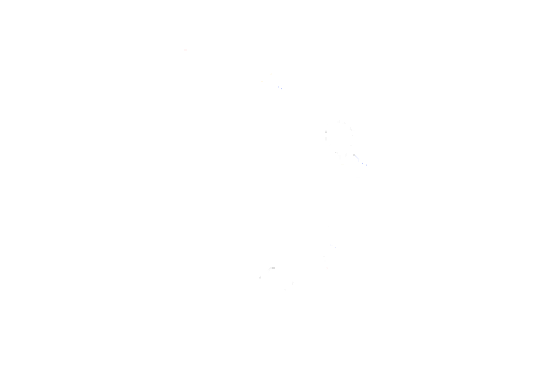 O=C(Oc1ccc(F)cc1)N1CCC(Oc2nc3ccc(C4CCN(S(=O)(=O)CCCCO)CC4)cc3s2)CC1